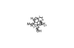 CNC(=O)C(C1N(C)C=CCN1C)C(C)(C)C=NO